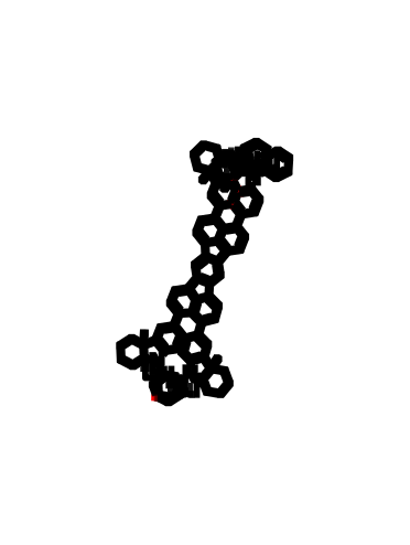 CC(C)(C)C12CCCCC1(C)c1cc(-c3ccc4c5cc6c(cc5c5ccc(-c7ccc8c(c7)C7(C)CCCCC7(C(C)(C)C)N8c7ccccc7)c3c45)c3ccc(-c4ccc5c(c4)C4(C)CCCCC4(C(C)(C)C)N5c4ccccc4)c4c(-c5ccc7c(c5)C5(C)CCCCC5(C(C)(C)C)N7c5ccccc5)ccc6c43)ccc1N2c1ccccc1